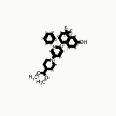 COC(OC)C1CCN(c2ccc([C@H]3c4ccc(O)cc4C(F)(F)C[C@H]3c3ccccc3)nc2)CC1